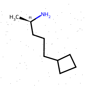 C[C@@H](N)CCCC1CCC1